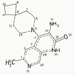 Cc1cc2c(N3CCC4(CCC4)CC3)c(N)c(=O)[nH]c2cn1